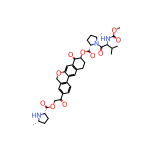 COC(=O)N[C@H](C(=O)N1[C@@H](C)CC[C@H]1C(=O)OC1CCc2cc3c(cc2C1=O)OCc1cc(C(=O)COC(=O)[C@@H]2CC[C@H](C)N2)ccc1-3)C(C)C